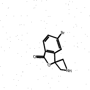 O=C1OC2(CNC2)c2cc(Br)ccc21